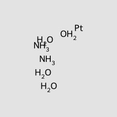 N.N.O.O.O.O.[Pt]